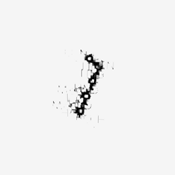 COc1c(NC(=O)c2ccc(NC(=O)c3ccc(NC(=O)C(CC#N)NC(=O)c4ccc([N+](=O)[O-])cc4)cc3)c(OC)c2O)ccc(C(=O)O)c1O